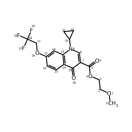 COCCOC(=O)c1cn(C2CC2)c2cc(OCC(F)(F)F)ccc2c1=O